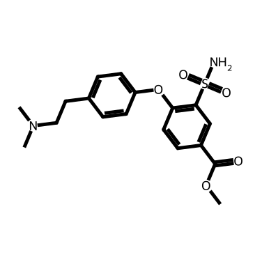 COC(=O)c1ccc(Oc2ccc(CCN(C)C)cc2)c(S(N)(=O)=O)c1